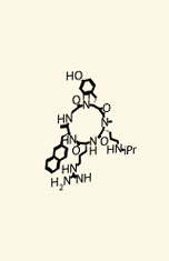 C=C1NCC(=O)N[C@H](Cc2ccc(O)cc2)C2OC2N(C)[C@H](CCCNC(C)C)C(=O)N[C@@H](CCCNC(=N)N)C(=O)N[C@H]1Cc1ccc2ccccc2c1